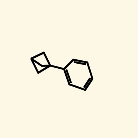 c1ccc(C23CC(C2)C3)cc1